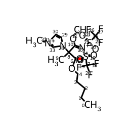 CCCCCOC(=O)C(C)(C(OC)=[N+](S(=O)(=O)C(F)(F)F)S(=O)(=O)C(F)(F)F)n1cc[n+](C)c1